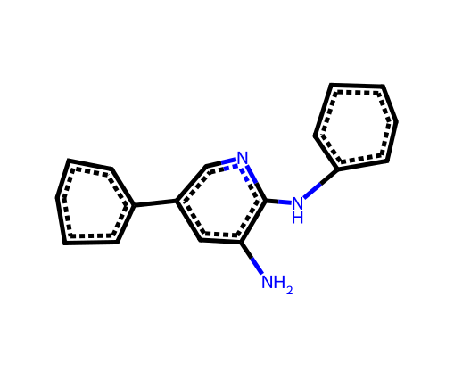 Nc1cc(-c2ccccc2)cnc1Nc1ccccc1